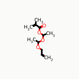 C=CCOC(C)OC(C)OC(=O)C(=C)C